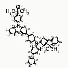 CC(C)(C)c1ccc(-n2c3ccccc3c3cc(-c4ccc(N(c5ccc(-c6ccccc6)cc5)c5ccc6c(c5)C(C)(C)c5ccccc5-6)cc4)ccc32)cc1